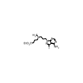 CCOC(=O)CCCN(C)CCCn1nc(I)c2c(N)ncnc21